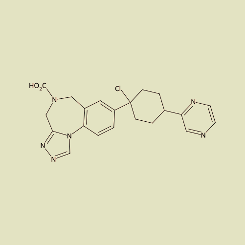 O=C(O)N1Cc2cc(C3(Cl)CCC(c4cnccn4)CC3)ccc2-n2cnnc2C1